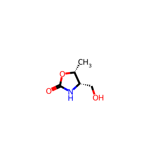 C[C@H]1OC(=O)N[C@H]1CO